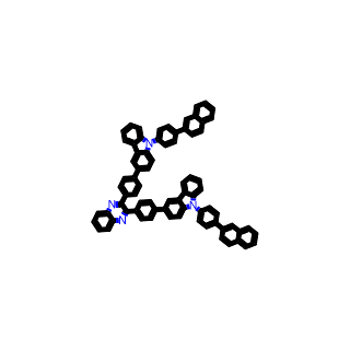 c1ccc2cc(-c3ccc(-n4c5ccccc5c5cc(-c6ccc(-c7nc8ccccc8nc7-c7ccc(-c8ccc9c(c8)c8ccccc8n9-c8ccc(-c9ccc%10ccccc%10c9)cc8)cc7)cc6)ccc54)cc3)ccc2c1